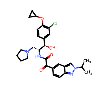 CC(C)n1cc2cc(C(=O)C(=O)N[C@H](CN3CCCC3)[C@H](O)c3ccc(OC4CC4)c(Cl)c3)ccc2n1